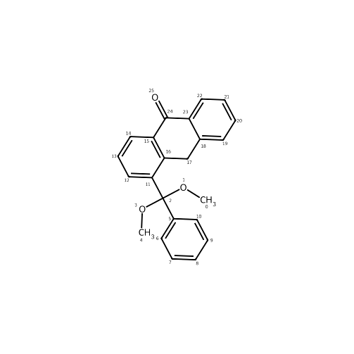 COC(OC)(c1ccccc1)c1cccc2c1Cc1ccccc1C2=O